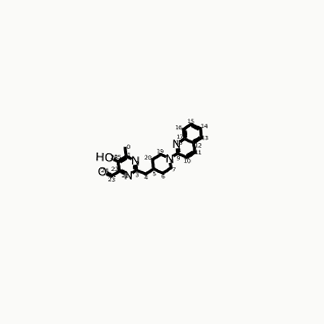 Cc1nc(CC2CCN(c3ccc4ccccc4n3)CC2)nc([C]=O)c1O